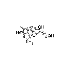 CCCCc1oc2cc(OCCCO)c(O)cc2c1C(=O)c1cc(I)c(O)c(I)c1